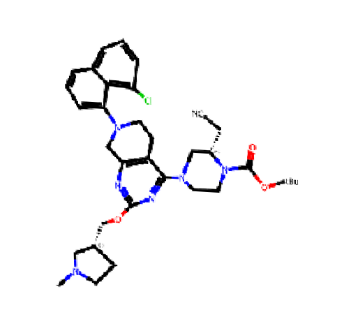 CN1CC[C@@H](COc2nc3c(c(N4CCN(C(=O)OC(C)(C)C)[C@@H](CC#N)C4)n2)CCN(c2cccc4cccc(Cl)c24)C3)C1